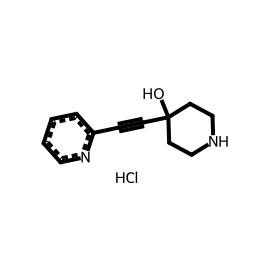 Cl.OC1(C#Cc2ccccn2)CCNCC1